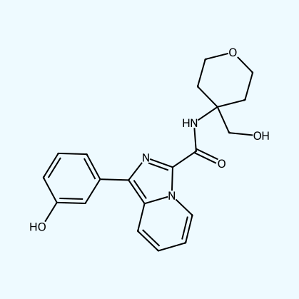 O=C(NC1(CO)CCOCC1)c1nc(-c2cccc(O)c2)c2ccccn12